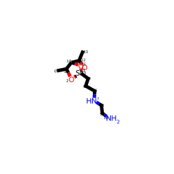 CC1O[Si]2(CCCNCCN)OC(C)C1O2